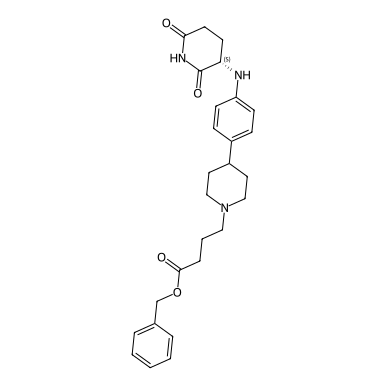 O=C1CC[C@H](Nc2ccc(C3CCN(CCCC(=O)OCc4ccccc4)CC3)cc2)C(=O)N1